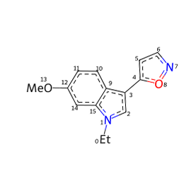 CCn1cc(-c2ccno2)c2ccc(OC)cc21